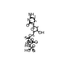 Nc1ccn(C2CC(O)C(COP(O)(=S)OP(=O)(O)OP(=O)(O)O)O2)c(=O)n1